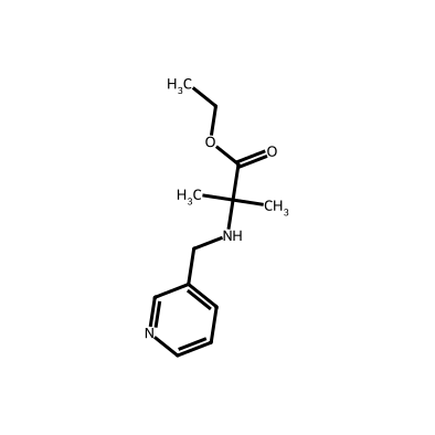 CCOC(=O)C(C)(C)NCc1cccnc1